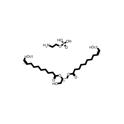 CCCCCCCC/C=C\CCCCCCCC(=O)OC[C@H](CO)OC(=O)CCCCCCC/C=C\CCCCCCCC.NCCOP(=O)(O)O